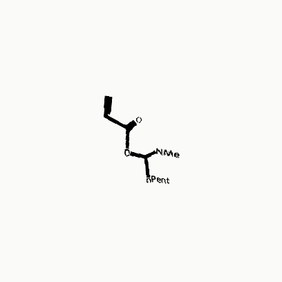 C=CC(=O)OC(CCCCC)NC